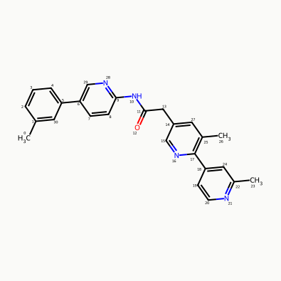 Cc1cccc(-c2ccc(NC(=O)Cc3cnc(-c4ccnc(C)c4)c(C)c3)nc2)c1